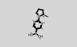 C[C@@H]1CCCN1c1ncc(B(O)O)cn1